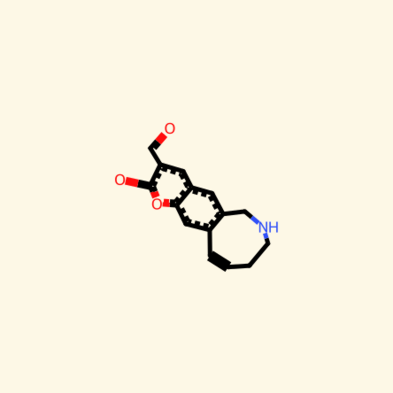 O=Cc1cc2cc3c(cc2oc1=O)C#CCCNC3